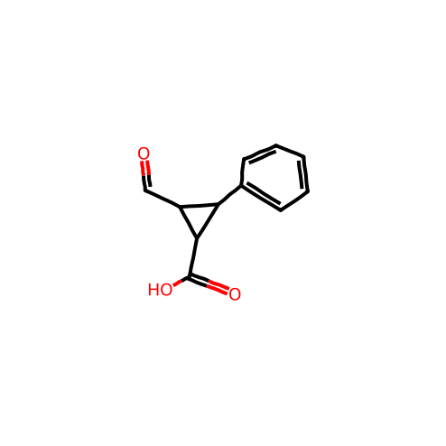 O=CC1C(C(=O)O)C1c1ccccc1